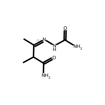 C/C(=N/NC(N)=O)C(C)C(N)=O